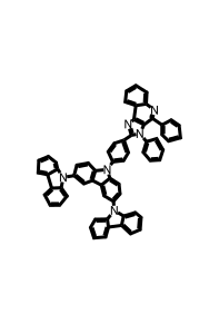 c1ccc(-c2nc3ccccc3c3nc(-c4ccc(-n5c6ccc(-n7c8ccccc8c8ccccc87)cc6c6cc(-n7c8ccccc8c8ccccc87)ccc65)cc4)n(-c4ccccc4)c23)cc1